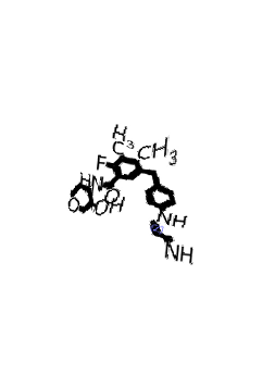 Cc1c(Cc2ccc(N/C=C\C=N)cc2)cc(C(=O)N[C@H]2CCOC[C@@H]2O)c(F)c1C